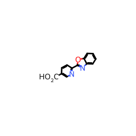 O=C(O)c1ccc(-c2nc3ccccc3o2)nc1